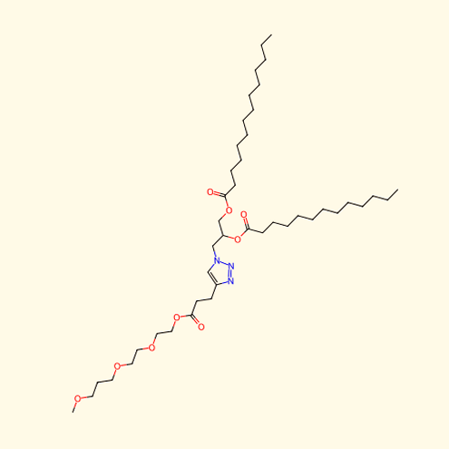 CCCCCCCCCCCCCC(=O)OCC(Cn1cc(CCC(=O)OCCOCCOCCCOC)nn1)OC(=O)CCCCCCCCCCCC